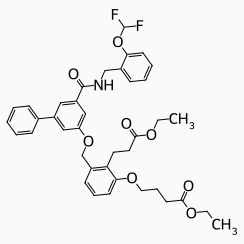 CCOC(=O)CCCOc1cccc(COc2cc(C(=O)NCc3ccccc3OC(F)F)cc(-c3ccccc3)c2)c1CCC(=O)OCC